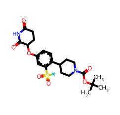 CC(C)(C)OC(=O)N1CCC(c2ccc(OC3CCC(=O)NC3=O)cc2S(=O)(=O)F)CC1